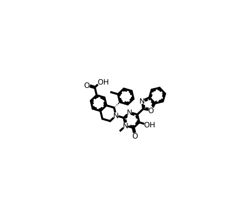 Cc1ccccc1[C@H]1c2cc(C(=O)O)ccc2CCN1c1nc(-c2nc3ccccc3o2)c(O)c(=O)n1C